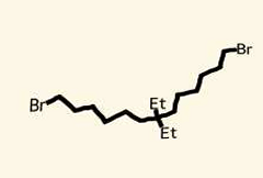 CCC(CC)(CCCCCCBr)CCCCCCBr